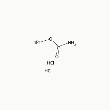 CCCOC(N)=O.Cl.Cl